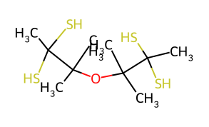 CC(S)(S)C(C)(C)OC(C)(C)C(C)(S)S